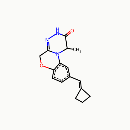 CC1C(=O)NN=C2COc3ccc(C=C4CCC4)cc3N21